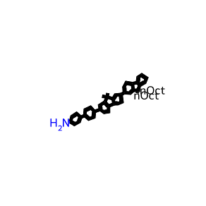 CCCCCCCCC1(CCCCCCCC)c2ccccc2-c2ccc(-c3ccc4c(c3)C(C)(C)c3cc(-c5ccc(-c6ccc(N)cc6)cc5)ccc3-4)cc21